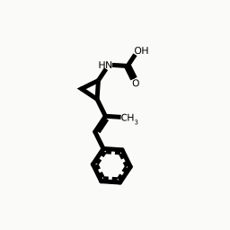 C/C(=C\c1ccccc1)C1CC1NC(=O)O